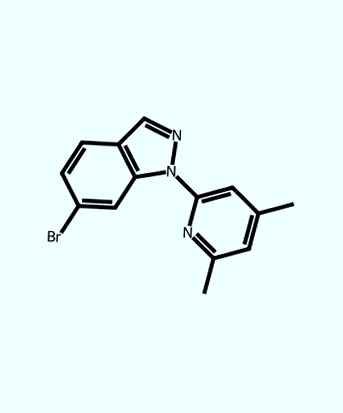 Cc1cc(C)nc(-n2ncc3ccc(Br)cc32)c1